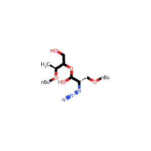 CCCCOC[C@H](N=[N+]=[N-])C(O)OC(CO)[C@H](C)OCCCC